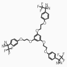 FC(F)(F)C1(c2ccc(OCCOc3cc(OCCOc4ccc(C5(C(F)(F)F)N=N5)cc4)cc(OCCOc4ccc(C5(C(F)(F)F)N=N5)cc4)c3)cc2)N=N1